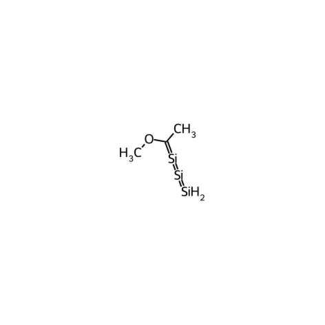 COC(C)=[Si]=[Si]=[SiH2]